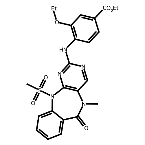 CCOC(=O)c1ccc(Nc2ncc3c(n2)N(S(C)(=O)=O)c2ccccc2C(=O)N3C)c(OCC)c1